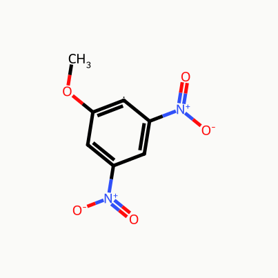 COc1[c]c([N+](=O)[O-])cc([N+](=O)[O-])c1